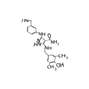 Cc1cc(CNc2[nH]nc(Nc3cccc(C=N)c3)c2C(N)=O)cc(C)c1O